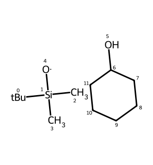 CC(C)(C)[Si](C)(C)[O].OC1CCCCC1